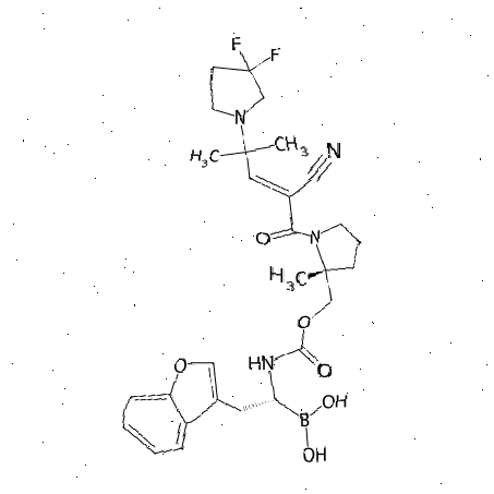 CC(C)(/C=C(\C#N)C(=O)N1CCC[C@]1(C)COC(=O)N[C@@H](Cc1coc2ccccc12)B(O)O)N1CCC(F)(F)C1